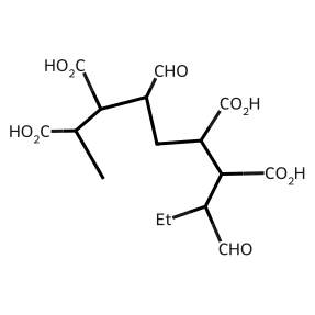 CCC(C=O)C(C(=O)O)C(CC(C=O)C(C(=O)O)C(C)C(=O)O)C(=O)O